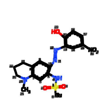 CCC(C)S(=O)(=O)Nc1cc2c(cc1N=Nc1cc([N+](=O)[O-])ccc1O)CCCN2C